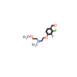 COCCN(C)CCOc1ccc(C=O)c(F)c1F